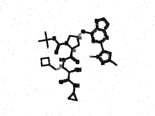 Cc1cc(-c2nc(O[C@@H]3C[C@@H](C(=O)N[C@@H](CC4CCC4)C(O)C(=O)NC4CC4)N(C(=O)OC(C)(C)C)C3)c3sccc3n2)n(C)n1